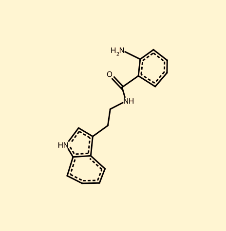 Nc1ccccc1C(=O)NCCc1c[nH]c2ccccc12